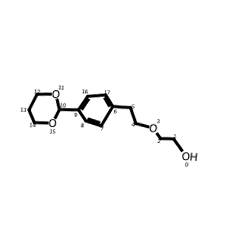 OCCOCCc1ccc(C2OCCCO2)cc1